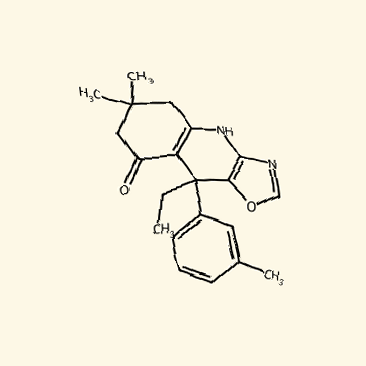 CCC1(c2cccc(C)c2)C2=C(CC(C)(C)CC2=O)Nc2ncoc21